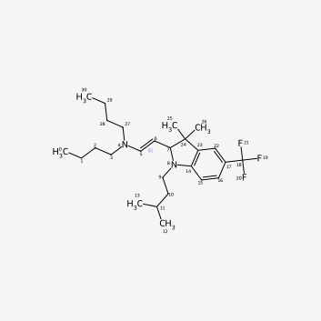 CCCCN(/C=C/C1N(CCC(C)C)c2ccc(C(F)(F)F)cc2C1(C)C)CCCC